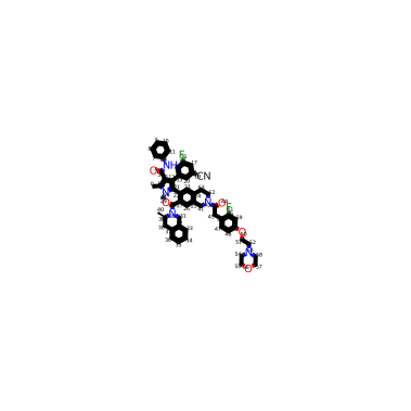 Cc1c(C(=O)Nc2ccccc2)c(-c2cc(F)cc(C#N)c2)c(-c2cc3c(cc2C(=O)N2Cc4ccccc4C[C@H]2C)CN(C(=O)Cc2ccc(OCCN4CCOCC4)cc2F)CC3)n1C